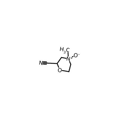 C[N+]1([O-])CCOC(C#N)C1